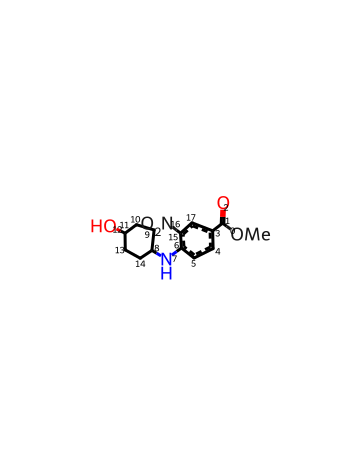 COC(=O)c1ccc(NC2CCC(O)CC2)c([N+](=O)[O-])c1